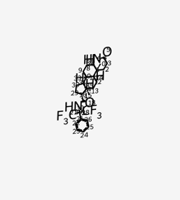 C[C@]12CCC(=O)N[C@@H]1CC[C@@H]1[C@@H]2CC[C@]2(C)[C@@H](C(=O)NC(c3ccccc3)(C(F)(F)F)C(F)(F)F)CC[C@@H]12